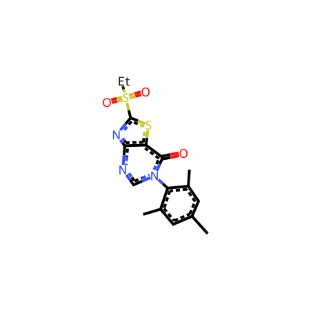 CCS(=O)(=O)c1nc2ncn(-c3c(C)cc(C)cc3C)c(=O)c2s1